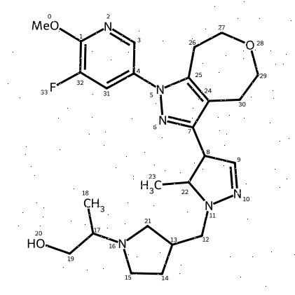 COc1ncc(-n2nc(C3C=NN(CC4CCN(C(C)CO)C4)C3C)c3c2CCOCC3)cc1F